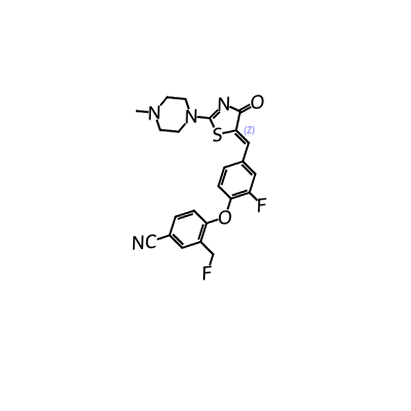 CN1CCN(C2=NC(=O)/C(=C/c3ccc(Oc4ccc(C#N)cc4CF)c(F)c3)S2)CC1